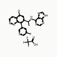 CC(Nc1ncnc2[nH]cnc12)c1cc(Cl)c2ccnnc2c1-c1cncc(F)c1.O=C(O)C(F)(F)F